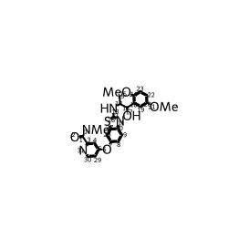 CNC(=O)c1cc(Oc2ccc3nc(NC(C)C(O)c4cc(OC)ccc4OC)sc3c2)ccn1